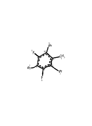 Cc1c(C(C)C)c(F)c(C(C)C)c(F)c1C(C)C